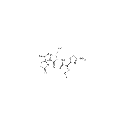 CO/N=C(\C(=O)N[C@@H]1C(=O)N(C2(C(=O)[O-])CCC(=O)O2)O[C@@H]1C)c1csc(N)n1.[Na+]